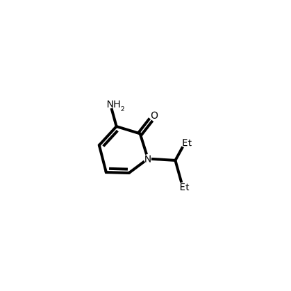 CCC(CC)n1cccc(N)c1=O